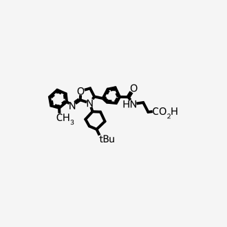 Cc1ccccc1/N=C1\OCC(c2ccc(C(=O)NCCC(=O)O)cc2)N1C1CCC(C(C)(C)C)CC1